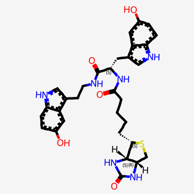 O=C(CCCC[C@@H]1SC[C@@H]2NC(=O)N[C@@H]21)N[C@@H](Cc1c[nH]c2ccc(O)cc12)C(=O)NCCc1c[nH]c2ccc(O)cc12